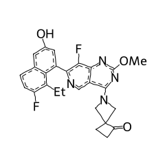 CCc1c(F)ccc2cc(O)cc(-c3ncc4c(N5CC6(CCC6=O)C5)nc(OC)nc4c3F)c12